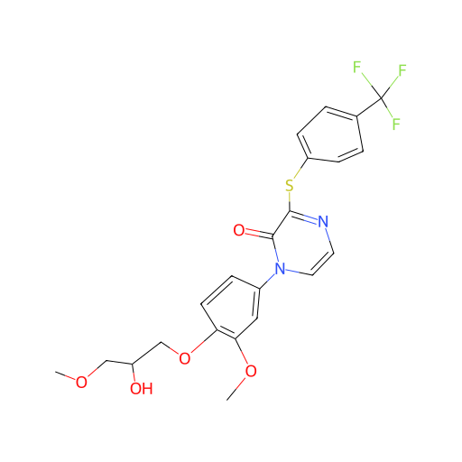 COCC(O)COc1ccc(-n2ccnc(Sc3ccc(C(F)(F)F)cc3)c2=O)cc1OC